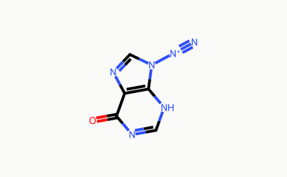 N#[N+]n1cnc2c(=O)nc[nH]c21